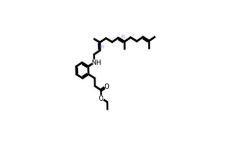 CCOC(=O)CCc1ccccc1NC/C=C(\C)CC/C=C(\C)CCC=C(C)C